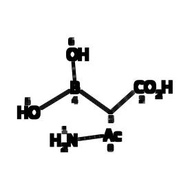 CC(N)=O.O=C(O)CB(O)O